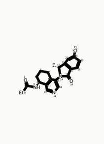 CCC(=O)N[C@H]1CCCc2c1cncc2N1C(=O)c2ccc(Cl)cc2[C@H]1C